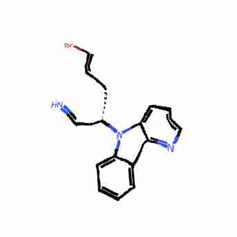 N=C[C@H](C/C=C/Br)n1c2ccccc2c2ncccc21